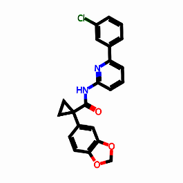 O=C(Nc1cccc(-c2cccc(Cl)c2)n1)C1(c2ccc3c(c2)OCO3)CC1